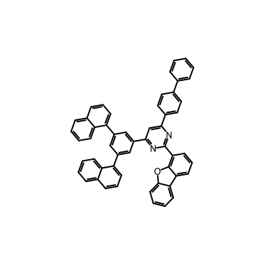 c1ccc(-c2ccc(-c3cc(-c4cc(-c5cccc6ccccc56)cc(-c5cccc6ccccc56)c4)nc(-c4cccc5c4oc4ccccc45)n3)cc2)cc1